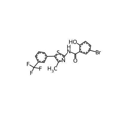 Cc1nc(NC(=O)c2cc(Br)ccc2O)sc1-c1cccc(C(F)(F)F)c1